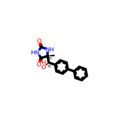 C[C@]1([C@H](O)c2ccc(-c3ccccc3)cc2)NC(=O)NC1=O